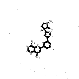 Cc1cc(-c2cccc(-c3cc([C@@]4(O)CCN(C)C4=O)on3)c2)nc2c(N)ncnc12